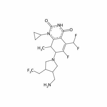 CC1c2c(c(=O)[nH]c(=O)n2C2CC2)C(C(F)F)=C(F)C1N1CC(CN)C(CC(F)(F)F)C1